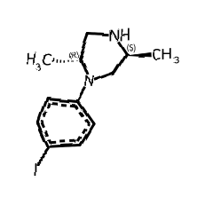 C[C@@H]1CN[C@@H](C)CN1c1ccc(I)cc1